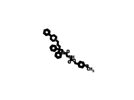 COc1ccc(COC(=O)NCC(=O)NCC(CCCN2CCC(c3ccccc3)CC2)(c2ccccc2)c2ccccc2)cc1